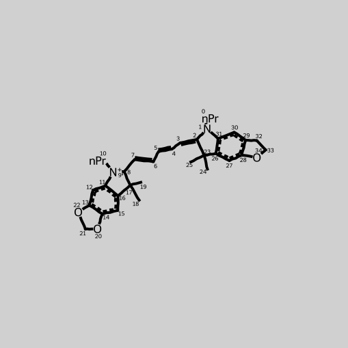 CCCN1/C(=C/C=C/C=C/C2=[N+](CCC)c3cc4c(cc3C2(C)C)OCO4)C(C)(C)c2cc3c(cc21)CCO3